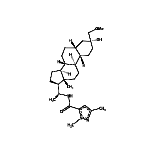 COC[C@@]1(O)CC[C@H]2[C@H](CC[C@@H]3[C@@H]2CC[C@]2(C)[C@@H]([C@H](C)NC(=O)c4cc(C)nn4C)CC[C@@H]32)C1